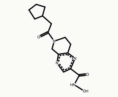 O=C(NO)c1cnc2c(n1)CCN(C(=O)CC1CCCC1)C2